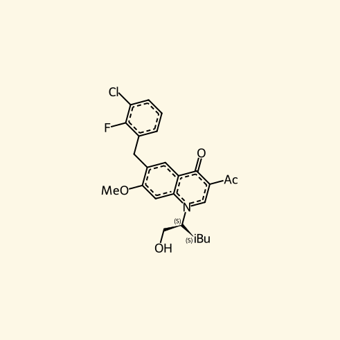 CC[C@H](C)[C@@H](CO)n1cc(C(C)=O)c(=O)c2cc(Cc3cccc(Cl)c3F)c(OC)cc21